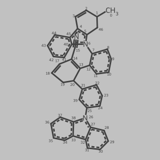 CC1C=Cc2c(n(-c3ccccc3C3=C(C#N)C=CCC3c3cccc(-n4c5ccccc5c5ccccc54)c3)c3ccccc23)C1